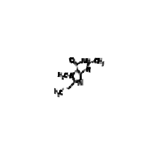 CCCc1nc2nc(C)[nH]c(=O)c2n1C